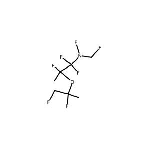 CC(F)(CF)OC(C)(F)C(F)(F)N(F)CF